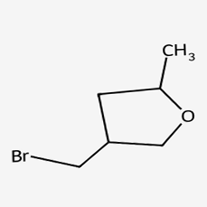 CC1CC(CBr)CO1